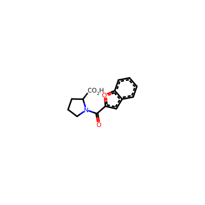 O=C(O)C1CCCN1C(=O)c1cc2ccccc2o1